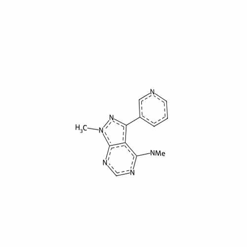 CNc1ncnc2c1c(-c1cccnc1)nn2C